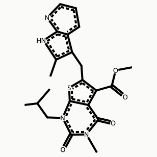 COC(=O)c1c(Cc2c(C)[nH]c3ncccc23)sc2c1c(=O)n(C)c(=O)n2CC(C)C